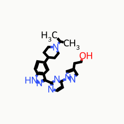 CC(C)N1CCC(c2ccc3[nH]nc(-c4nccc(-n5cc(CCO)cn5)n4)c3c2)CC1